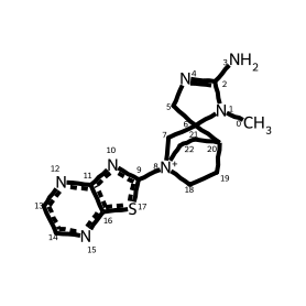 CN1C(N)=NCC12C[N+]1(c3nc4nccnc4s3)CCC2CC1